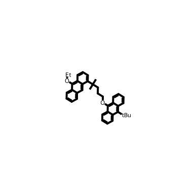 CCOc1c2ccccc2cc2c(C(C)(C)CCCOc3c4ccccc4c(C(C)(C)C)c4ccccc34)cccc12